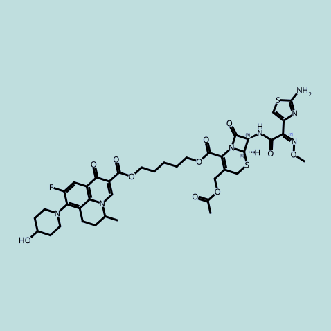 CO/N=C(\C(=O)N[C@@H]1C(=O)N2C(C(=O)OCCCCCOC(=O)c3cn4c5c(c(N6CCC(O)CC6)c(F)cc5c3=O)CCC4C)=C(COC(C)=O)CS[C@H]12)c1csc(N)n1